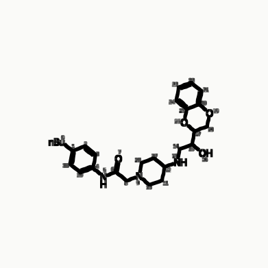 CCCCc1ccc(NC(=O)CN2CCC(NCC(O)C3COc4ccccc4O3)CC2)cc1